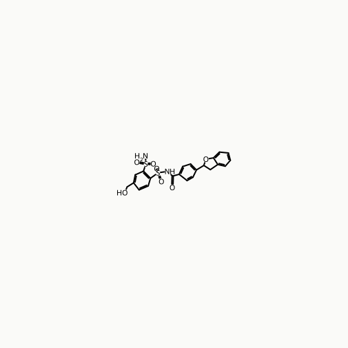 NS(=O)(=O)c1cc(CO)ccc1S(=O)(=O)NC(=O)c1ccc(C2Cc3ccccc3O2)cc1